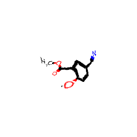 COC(=O)c1cc(C#N)ccc1[O]